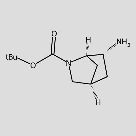 CC(C)(C)OC(=O)N1C[C@@H]2C[C@@H](N)[C@H]1C2